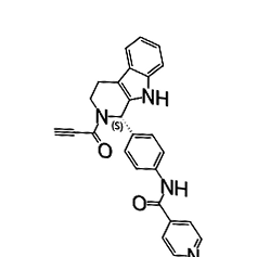 C#CC(=O)N1CCc2c([nH]c3ccccc23)[C@@H]1c1ccc(NC(=O)c2ccncc2)cc1